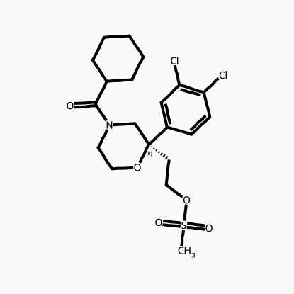 CS(=O)(=O)OCC[C@@]1(c2ccc(Cl)c(Cl)c2)CN(C(=O)C2CCCCC2)CCO1